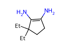 CCC1(CC)CCC(N)=C1N